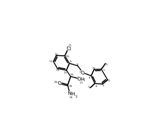 Cc1ccc(C)c(OCc2c(Cl)cccc2C(O)C(N)=O)c1